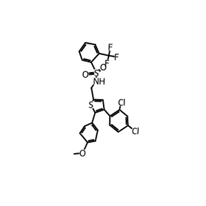 COc1ccc(-c2sc(CNS(=O)(=O)c3ccccc3C(F)(F)F)cc2-c2ccc(Cl)cc2Cl)cc1